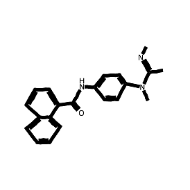 CN=C(C)N(C)c1ccc(NC(=O)c2cccc3ccccc23)cc1